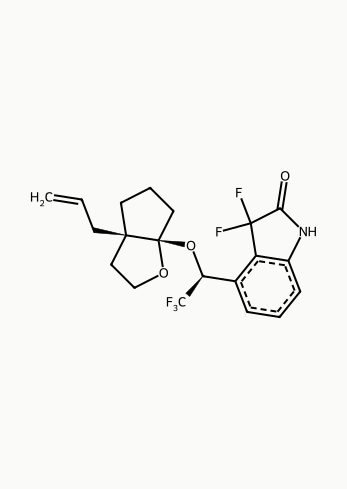 C=CC[C@@]12CCC[C@]1(O[C@@H](c1cccc3c1C(F)(F)C(=O)N3)C(F)(F)F)OCC2